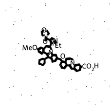 CCn1ncc(C(=O)N2CCOCC2)c1C1=Cc2cc(OC)ccc2-c2c(C3CCCCC3)c3ccc(C(=O)c4cccc5c4C=CCn4c-5cc5ccc(C(=O)O)cc54)cc3n2C1